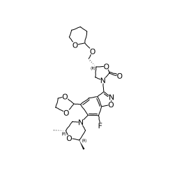 C[C@@H]1CN(c2c(C3OCCO3)cc3c(N4C[C@H](COC5CCCCO5)OC4=O)noc3c2F)C[C@@H](C)O1